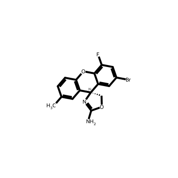 Cc1ccc2c(c1)[C@@]1(COC(N)=N1)c1cc(Br)cc(F)c1O2